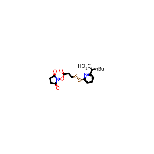 CCCCC(C(=O)O)c1cccc(SSCCC(=O)ON2C(=O)CCC2=O)n1